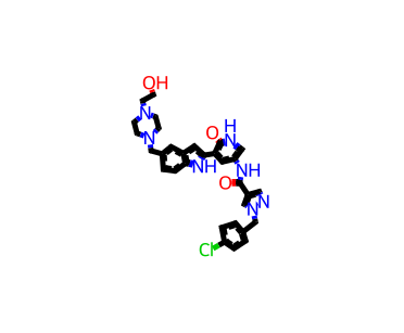 O=C(Nc1c[nH]c(=O)c(-c2cc3cc(CN4CCN(CCO)CC4)ccc3[nH]2)c1)c1cnn(Cc2ccc(Cl)cc2)c1